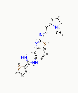 CN1CCCC1CCNc1nc2cc(NC(=N)c3cccs3)ccc2s1